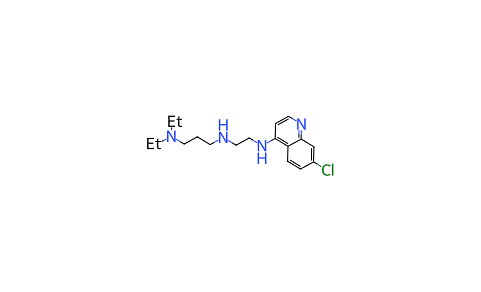 CCN(CC)CCCNCCNc1ccnc2cc(Cl)ccc12